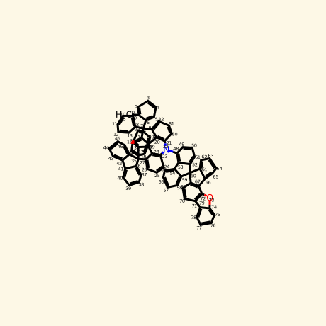 Cc1ccccc1C1(c2ccccc2)c2ccccc2-c2c(N(c3cccc4c3-c3ccccc3C43c4ccccc4-c4ccccc43)c3cccc4c3-c3ccccc3C43c4ccccc4-c4c3ccc3c4oc4ccccc43)cccc21